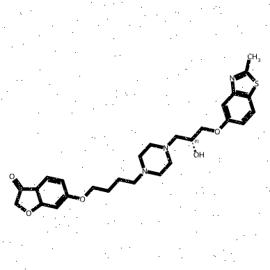 Cc1nc2cc(OC[C@H](O)CN3CCN(CCCCOC4=CC5OCC(=O)C5C=C4)CC3)ccc2s1